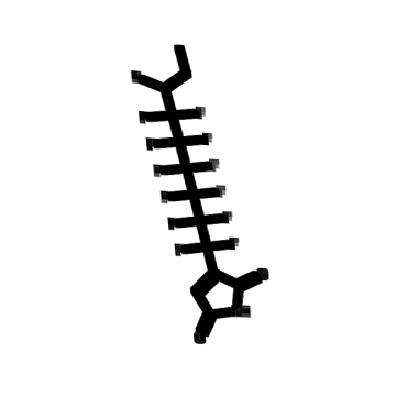 CCC(F)C(F)(F)C(F)(F)C(F)(F)C(F)(F)C(F)(F)C(F)(F)C1=CC(=O)NC1=O